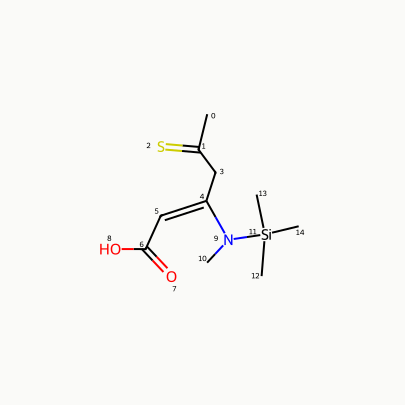 CC(=S)CC(=CC(=O)O)N(C)[Si](C)(C)C